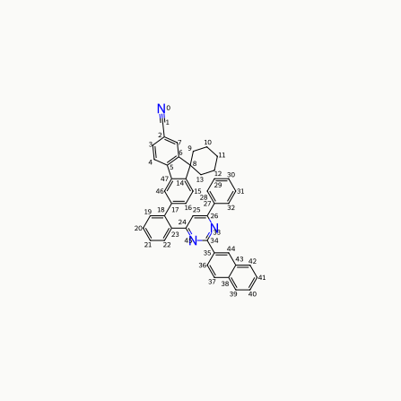 N#Cc1ccc2c(c1)C1(CCCCC1)c1ccc(-c3ccccc3-c3cc(-c4ccccc4)nc(-c4ccc5ccccc5c4)n3)cc1-2